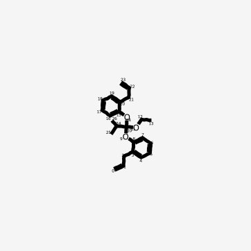 C=CCc1ccccc1OC(OCC)(Oc1ccccc1CC=C)C(C)C